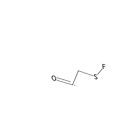 O=[C]CSF